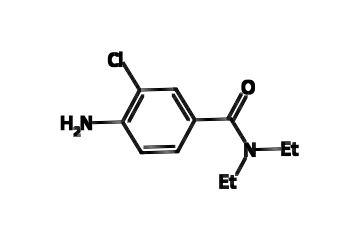 CCN(CC)C(=O)c1ccc(N)c(Cl)c1